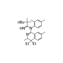 CCCCC(C)(C)C(=N)N(C1=NC(C)C(CC)(CC)c2ccc(C)cc21)c1ccc(C)cc1C